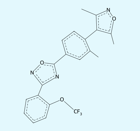 Cc1cc(-c2nc(-c3ccccc3OC(F)(F)F)no2)ccc1-c1c(C)noc1C